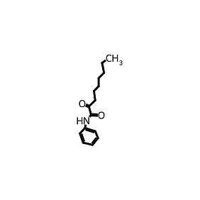 CCCCCCCC(=O)C(=O)Nc1ccccc1